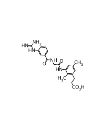 Cc1cc(CCC(=O)O)c(C)c(NC(=O)CNC(=O)c2cccc(NC(=N)N)c2)c1